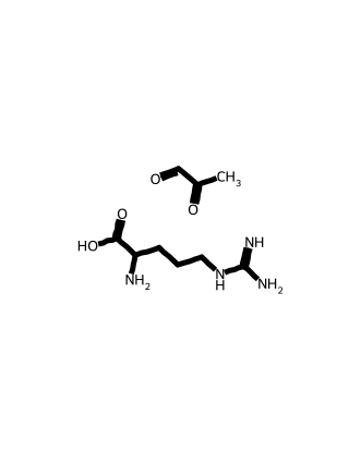 CC(=O)C=O.N=C(N)NCCCC(N)C(=O)O